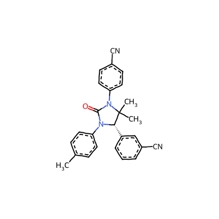 Cc1ccc(N2C(=O)N(c3ccc(C#N)cc3)C(C)(C)[C@@H]2c2cccc(C#N)c2)cc1